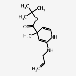 C=CCNC1=CC(C)(C(=O)OC(C)(C)C)C=CN1